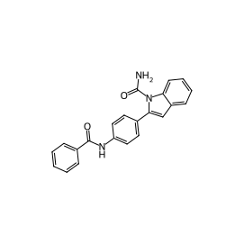 NC(=O)n1c(-c2ccc(NC(=O)c3ccccc3)cc2)cc2ccccc21